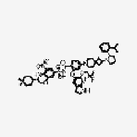 CC(C)c1ccccc1[C@@H]1CCCN1C1CC2(CCN(c3ccc(C(=O)NS(=O)(=O)c4cc5c(c([N+](=O)[O-])c4)N[C@@H](C4CCC(C)(C)CC4)CO5)c(Oc4cc5cc[nH]c5nc4OCC(F)(F)F)c3)CC2)C1